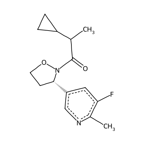 Cc1ncc([C@@H]2CCON2C(=O)C(C)C2CC2)cc1F